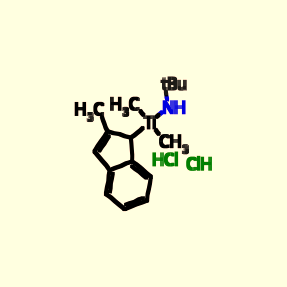 CC1=Cc2ccccc2[CH]1[Ti]([CH3])([CH3])[NH]C(C)(C)C.Cl.Cl